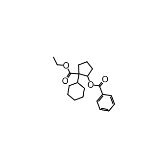 CCOC(=O)C1(C2CCCCC2)CCCC1OC(=O)c1ccccc1